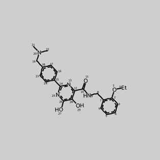 CCOc1ccccc1CNC(=O)c1nc(-c2ccc(CN(C)C)cc2)nc(O)c1O